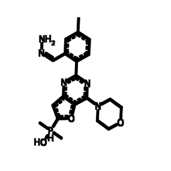 Cc1ccc(-c2nc(N3CCOCC3)c3oc([PH](C)(C)O)cc3n2)c(/C=N\N)c1